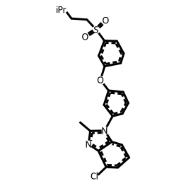 Cc1nc2c(Cl)cccc2n1-c1cccc(Oc2cccc(S(=O)(=O)CCC(C)C)c2)c1